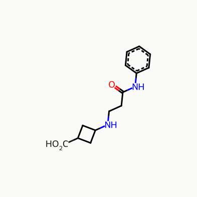 O=C(CCNC1CC(C(=O)O)C1)Nc1ccccc1